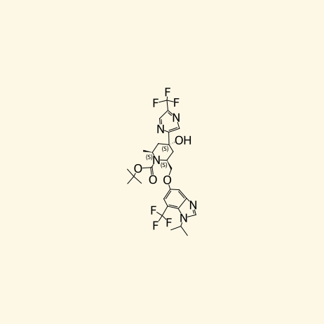 CC(C)n1cnc2cc(OC[C@@H]3C[C@](O)(c4cnc(C(F)(F)F)cn4)C[C@H](C)N3C(=O)OC(C)(C)C)cc(C(F)(F)F)c21